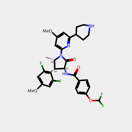 COc1cc(C2CCNCC2)nc(N2C(=O)[C@@H](NC(=O)c3ccc(OC(F)F)cc3)[C@H](c3c(F)cc(OC)cc3F)[C@@H]2C)c1